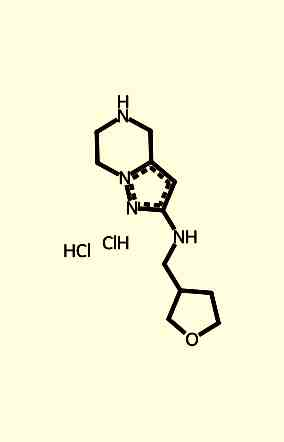 Cl.Cl.c1c(NCC2CCOC2)nn2c1CNCC2